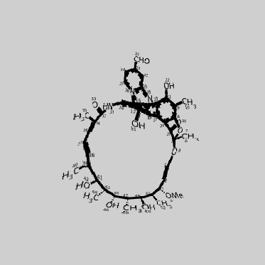 CO[C@H]1/C=C/O[C@@]2(C)Oc3c(C)c(O)c4c(O)c(c5c(nc6cc(C=O)ccn65)c4c3C2=O)NC(=O)/C(C)=C\C=C\[C@H](C)[C@H](O)[C@@H](C)[C@@H](O)[C@@H](C)[C@H](O)[C@@H]1C